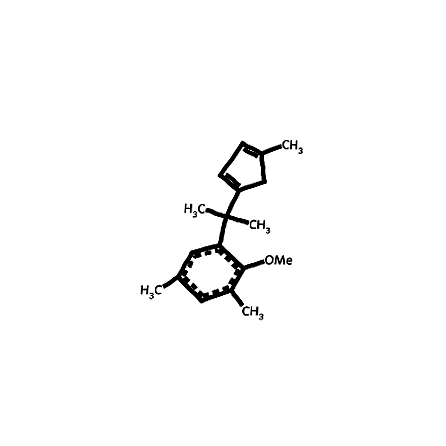 COc1c(C)cc(C)cc1C(C)(C)C1=CC=C(C)C1